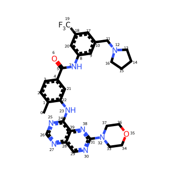 Cc1ccc(C(=O)Nc2cc(CN3CCCC3)cc(C(F)(F)F)c2)cc1Nc1ncnc2cnc(N3CCOCC3)nc12